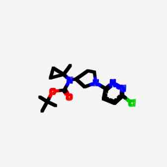 CC(C)(C)OC(=O)N(C1CCN(c2ccc(Cl)nn2)C1)C1(C)CC1